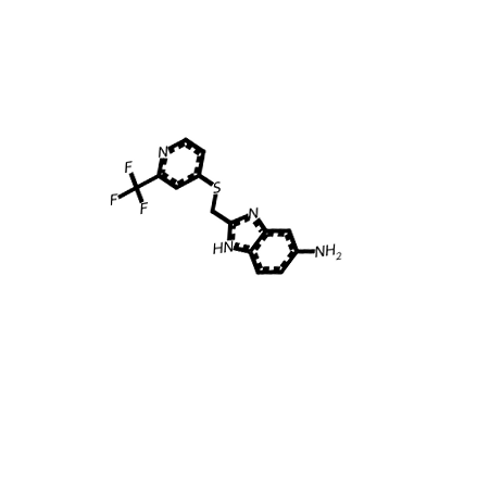 Nc1ccc2[nH]c(CSc3ccnc(C(F)(F)F)c3)nc2c1